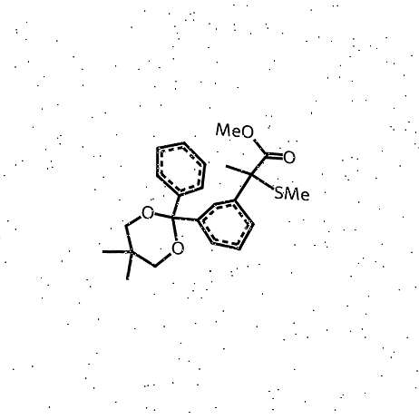 COC(=O)C(C)(SC)c1cccc(C2(c3ccccc3)OCC(C)(C)CO2)c1